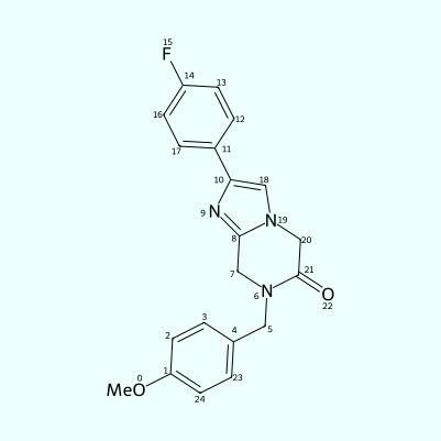 COc1ccc(CN2Cc3nc(-c4ccc(F)cc4)cn3CC2=O)cc1